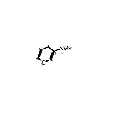 CNC1=[C]OC=CC1